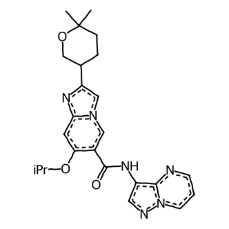 CC(C)Oc1cc2nc(C3CCC(C)(C)OC3)cn2cc1C(=O)Nc1cnn2cccnc12